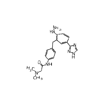 CN(C)CC(=O)Nc1ccc(Cc2cc(-c3nc[nH]n3)ccc2NN)cc1